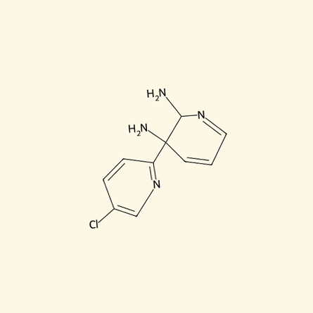 NC1N=CC=CC1(N)c1ccc(Cl)cn1